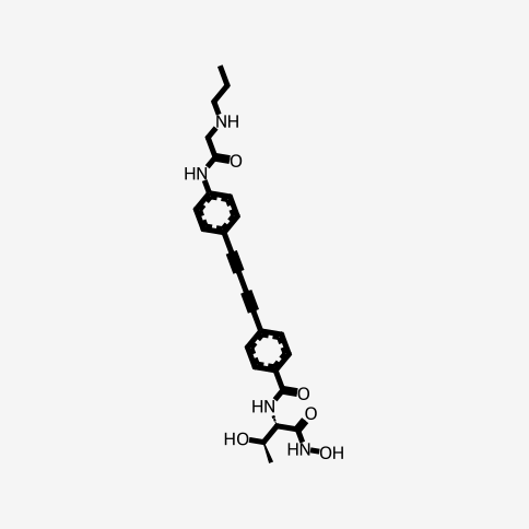 CCCNCC(=O)Nc1ccc(C#CC#Cc2ccc(C(=O)N[C@H](C(=O)NO)[C@@H](C)O)cc2)cc1